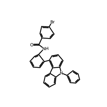 O=C(Nc1ccccc1-c1cccc2c1c1ccccc1n2-c1ccccc1)c1ccc(Br)cc1